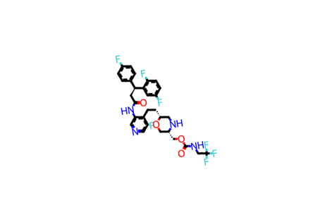 O=C(C[C@@H](c1ccc(F)cc1)c1cc(F)ccc1F)Nc1cncc(F)c1CC[C@@H]1CN[C@H](COC(=O)NCC(F)(F)F)CO1